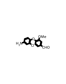 COc1cc(C=O)ccc1Oc1ccc(N)cc1Cl